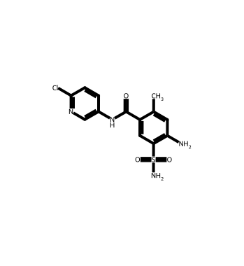 Cc1cc(N)c(S(N)(=O)=O)cc1C(=O)Nc1ccc(Cl)nc1